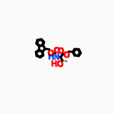 C[C@H](O)[C@@H](NC(=O)OCC1c2ccccc2-c2ccccc21)C(=O)OCc1ccccc1